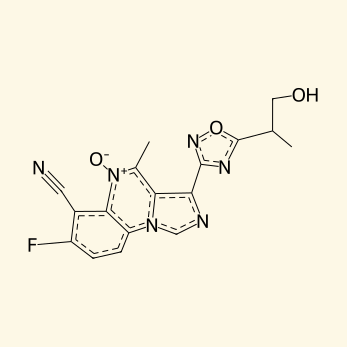 Cc1c2c(-c3noc(C(C)CO)n3)ncn2c2ccc(F)c(C#N)c2[n+]1[O-]